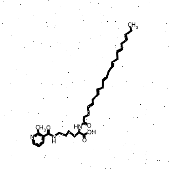 CCC=CCC=CCC=CCC=CCC=CCC=CCCC(=O)NC(CCCCNC(=O)c1cccnc1C)C(=O)O